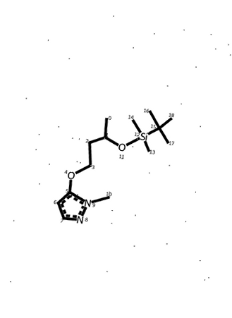 CC(CCOc1ccnn1C)O[Si](C)(C)C(C)(C)C